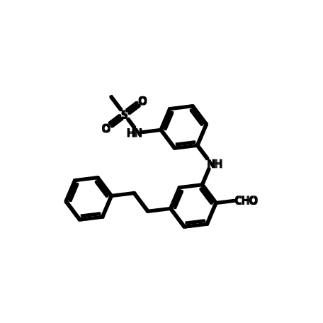 CS(=O)(=O)Nc1cccc(Nc2cc(CCc3ccccc3)ccc2C=O)c1